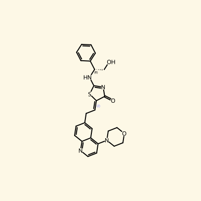 O=C1N=C(N[C@@H](CO)c2ccccc2)S/C1=C\Cc1ccc2nccc(N3CCOCC3)c2c1